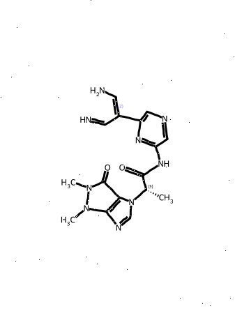 C[C@@H](C(=O)Nc1cncc(/C(C=N)=C/N)n1)n1cnc2c1c(=O)n(C)n2C